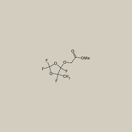 COC(=O)COC1(F)OC(F)(F)OC1(C)F